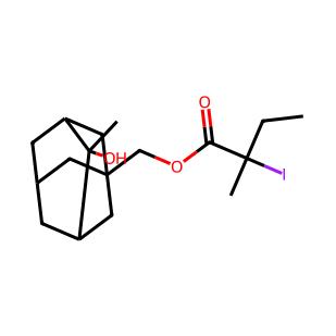 CCC(C)(I)C(=O)OCC12CC3CC(C1)C(C)(O)C(C3)C2